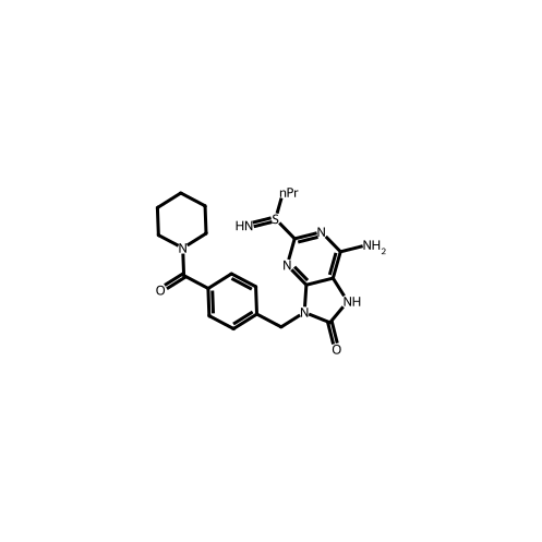 CCCS(=N)c1nc(N)c2[nH]c(=O)n(Cc3ccc(C(=O)N4CCCCC4)cc3)c2n1